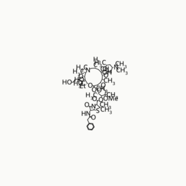 CC[C@H]1OC(=O)[C@H](C)[C@@H](O[C@H]2C[C@@](C)(OC)[C@@H](OC(=O)C3N4C(=O)C(NC(=O)Cc5ccccc5)C4SC3(C)C)[C@H](C)O2)[C@H](C)[C@@H](O[C@H]2C[C@@H](N(C)C)C[C@@H](C)O2)[C@](C)(O)C[C@@H](C)CN(C)[C@H](C)[C@@H](OC(=O)CCO)[C@]1(C)O